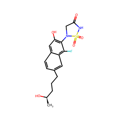 C[C@@H](O)CCCc1ccc2cc(O)c(N3CC(=O)NS3(=O)=O)c(F)c2c1